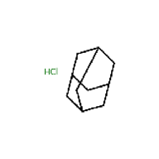 C1C2CC3CC1CC(C2)C3.Cl